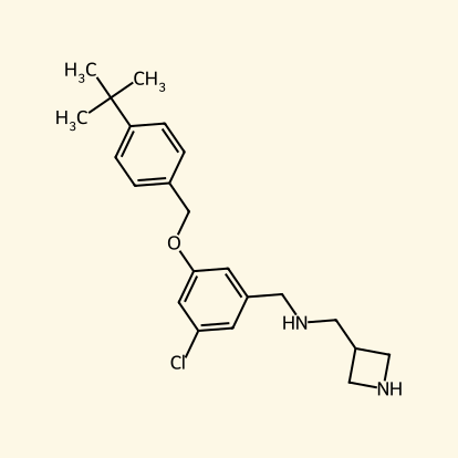 CC(C)(C)c1ccc(COc2cc(Cl)cc(CNCC3CNC3)c2)cc1